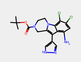 CC(C)(C)OC(=O)N1CCn2c(c(-c3cn[nH]c3)c3c(N)cc(Cl)c(Cl)c32)C1